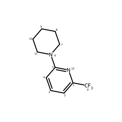 FC(F)(F)c1cc[c]c(N2CCCCC2)n1